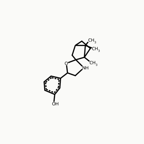 CC1(C)C2CCC1(C)C1(C2)NCC(c2cccc(O)c2)O1